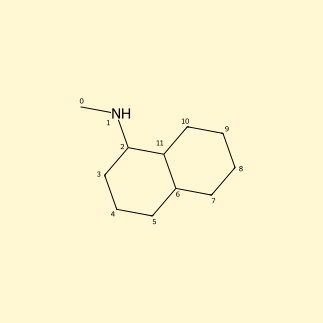 CNC1CCCC2CCCCC21